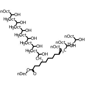 CCCCCCCC/C=C\CCCCCCCC(=O)OCCCCCCCCCC.CCCCCCCCC(C)O.CCCCCCCCC(C)O.CCCCCCCCC(C)O.CCCCCCCCC(C)O.CCCCCCCCC(C)O.CCCCCCCCC(C)O.CCCCCCCCC(C)O.CCCCCCCCC(C)O